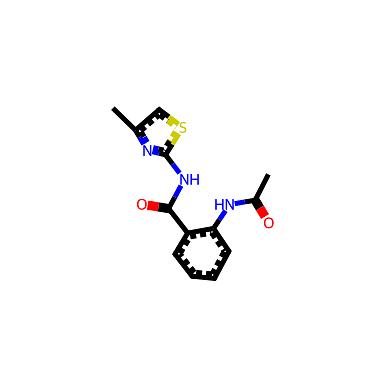 CC(=O)Nc1ccccc1C(=O)Nc1nc(C)cs1